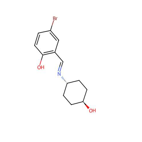 Oc1ccc(Br)cc1C=N[C@H]1CC[C@H](O)CC1